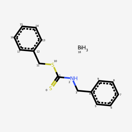 S=C(NCc1ccccc1)SCc1ccccc1.[BiH3]